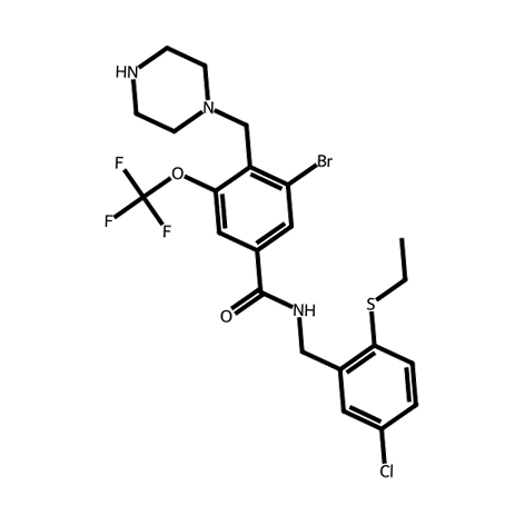 CCSc1ccc(Cl)cc1CNC(=O)c1cc(Br)c(CN2CCNCC2)c(OC(F)(F)F)c1